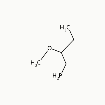 CCC(CP)OC